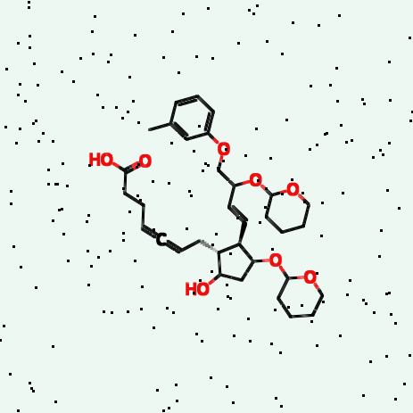 Cc1cccc(OCC(/C=C/[C@H]2C(OC3CCCCO3)CC(O)[C@@H]2CC=C=CCCC(=O)O)OC2CCCCO2)c1